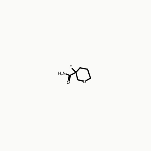 NC(=O)C1(F)CCCOC1